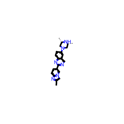 Cc1cn2cc(-c3ncc4cc(N5C[C@@H](C)N[C@@H](C)C5)ccc4n3)ccc2n1